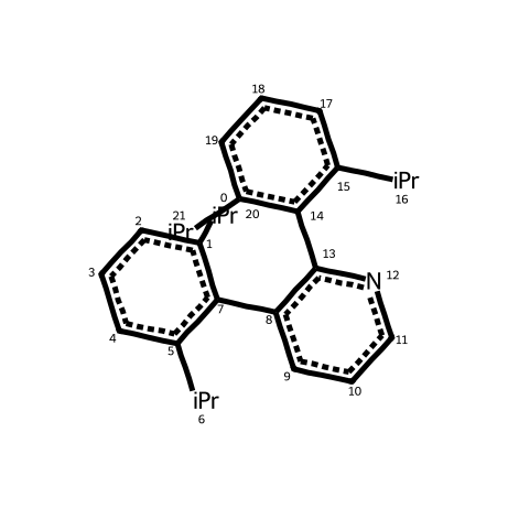 CC(C)c1cccc(C(C)C)c1-c1cccnc1-c1c(C(C)C)cccc1C(C)C